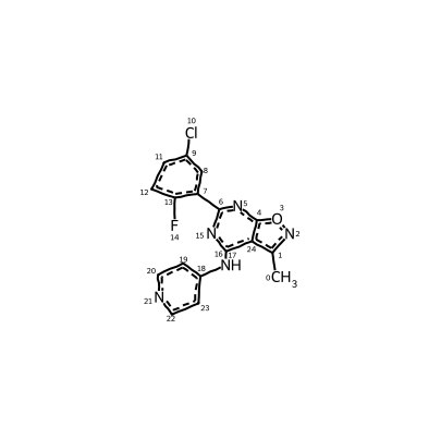 Cc1noc2nc(-c3cc(Cl)ccc3F)nc(Nc3ccncc3)c12